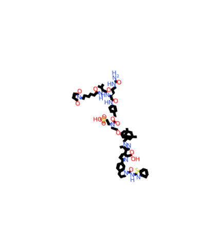 Cc1c(-c2ccc(-c3ccc4c(c3)N(C(=O)Nc3nc5ccccc5s3)CCC4)nc2C(=O)O)cnn1CC12CC3(C)CC(C)(C1)CC(OCCN(CCS(=O)(=O)O)C(=O)OCc1ccc(NC(=O)[C@H](CCCNC(N)=O)NC(=O)[C@@H](NC(=O)CCCCCN4C(=O)C=CC4=O)C(C)C)cc1)(C3)C2